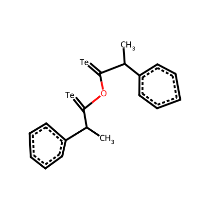 CC(C(=[Te])OC(=[Te])C(C)c1ccccc1)c1ccccc1